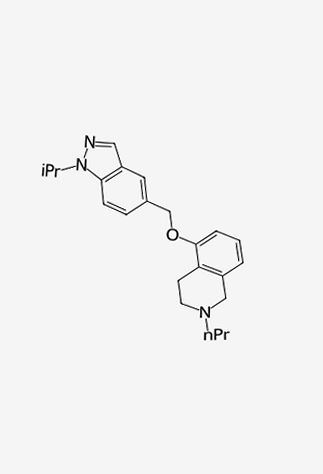 CCCN1CCc2c(cccc2OCc2ccc3c(cnn3C(C)C)c2)C1